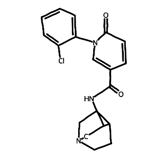 O=C(NC1CN2CCC1CC2)c1ccc(=O)n(-c2ccccc2Cl)c1